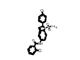 CS(=O)(=O)n1c(-c2ccc(Cl)cc2)cc2cc(NC(=O)c3ccccc3Cl)ccc21